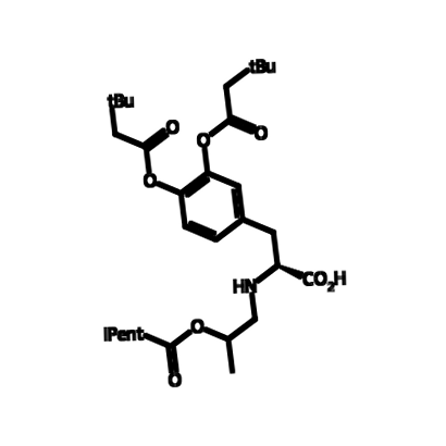 CCCC(C)C(=O)OC(C)CN[C@@H](Cc1ccc(OC(=O)CC(C)(C)C)c(OC(=O)CC(C)(C)C)c1)C(=O)O